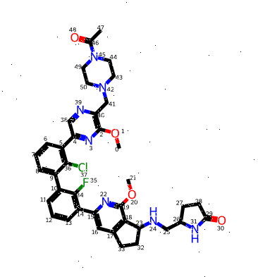 COc1nc(-c2cccc(-c3cccc(-c4cc5c(c(OC)n4)C(NCC4CCC(=O)N4)CC5)c3F)c2Cl)cnc1CN1CCN(C(C)=O)CC1